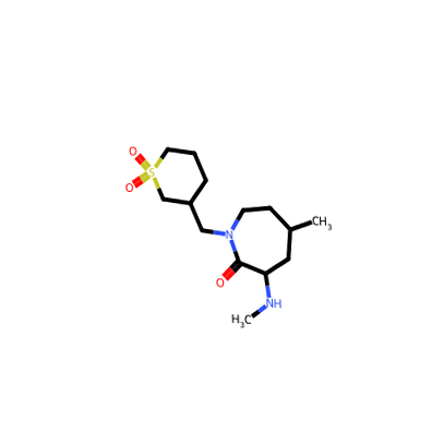 CNC1CC(C)CCN(CC2CCCS(=O)(=O)C2)C1=O